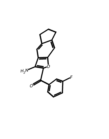 Nc1c(C(=O)c2cccc(F)c2)oc2cc3c(cc12)CCC3